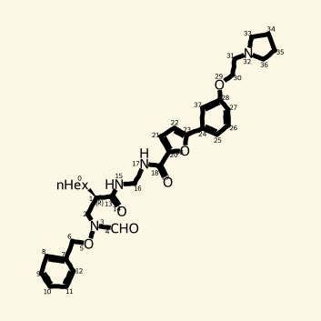 CCCCCC[C@H](CN(C=O)OCc1ccccc1)C(=O)NCNC(=O)c1ccc(-c2cccc(OCCN3CCCC3)c2)o1